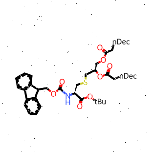 CCCCCCCCCCCC(=O)OC[C@H](CSC[C@H](NC(=O)OCC1c2ccccc2-c2ccccc21)C(=O)OC(C)(C)C)OC(=O)CCCCCCCCCCC